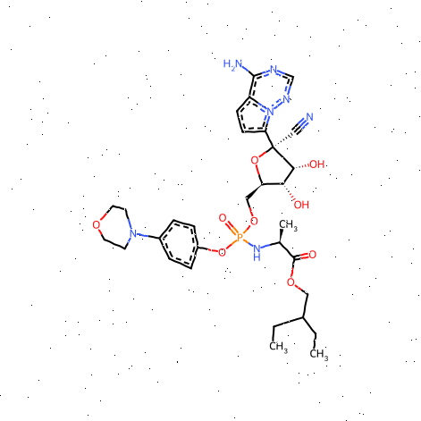 CCC(CC)COC(=O)[C@H](C)NP(=O)(OC[C@H]1O[C@@](C#N)(c2ccc3c(N)ncnn23)[C@H](O)[C@@H]1O)Oc1ccc(N2CCOCC2)cc1